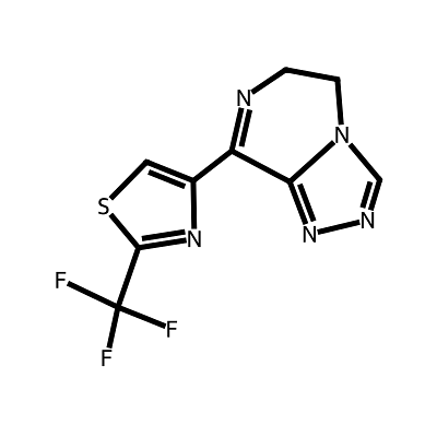 FC(F)(F)c1nc(C2=NCCn3cnnc32)cs1